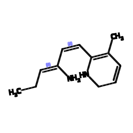 CC/C=C(N)/C=C\C1=C(C)C=CCN1